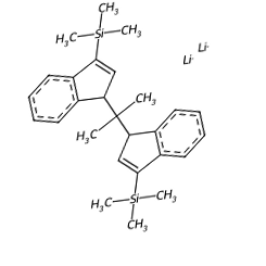 CC(C)(C1C=C([Si](C)(C)C)c2ccccc21)C1C=C([Si](C)(C)C)c2ccccc21.[Li].[Li]